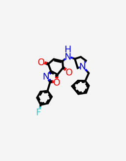 O=C1C=C(NC2CCN(Cc3ccccc3)C2)C(=O)c2oc(-c3ccc(F)cc3)nc21